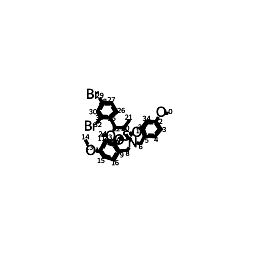 COc1ccc(CN(Cc2ccc(OC)cc2)S(=O)(=O)C(C)C(OC)c2ccc(Br)cc2Br)cc1